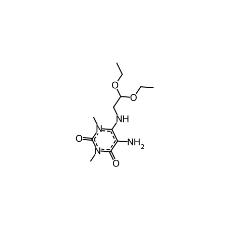 CCOC(CNc1c(N)c(=O)n(C)c(=O)n1C)OCC